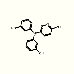 Nc1ccc(N(c2cccc(O)c2)c2cccc(O)c2)nn1